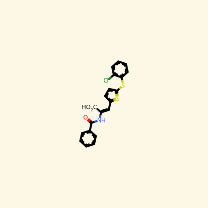 O=C(O)/C(=C\c1ccc(Sc2ccccc2Cl)s1)NC(=O)c1ccccc1